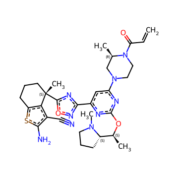 C=CC(=O)N1CCN(c2cc(-c3noc([C@@]4(C)CCCc5sc(N)c(C#N)c54)n3)nc(O[C@@H](C)[C@@H]3CCCN3C)n2)C[C@H]1C